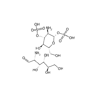 N[C@@H](C=O)[C@@H](O)[C@H](O)[C@H](O)CO.N[C@H]1[C@H](OS(=O)(=O)O)O[C@H](CO)[C@@H](O)[C@@H]1OS(=O)(=O)O